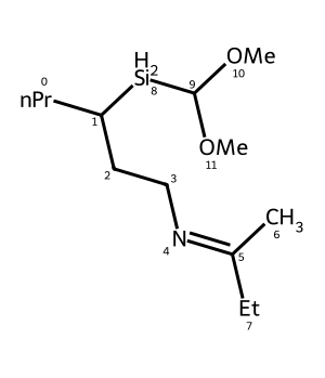 CCCC(CCN=C(C)CC)[SiH2]C(OC)OC